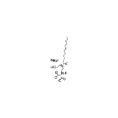 CCCCCCCCCCCC(=O)N(CCO)CCNC(C(=O)[O-])C(=O)[O-].[Na+].[Na+]